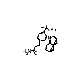 CCCCC(C)(C)c1ccc(CCC(N)=O)cc1.c1cc2ncc3cc2cc1-3